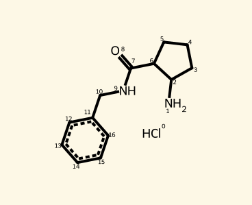 Cl.NC1CCCC1C(=O)NCc1ccccc1